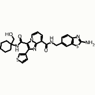 Nc1nc2ccc(CNC(=O)c3cccn4c(C(=O)NC5(CO)CCCCC5)c(-c5ccsc5)nc34)cc2s1